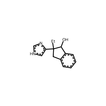 CCC1(c2c[nH]cn2)Cc2ccccc2C1O